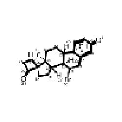 C[C@]12C=CC(=O)C=C1C[C@@H](Br)[C@@H]1[C@@H]2CC[C@@]2(C)[C@H]1CC[C@@]21CCC1=O